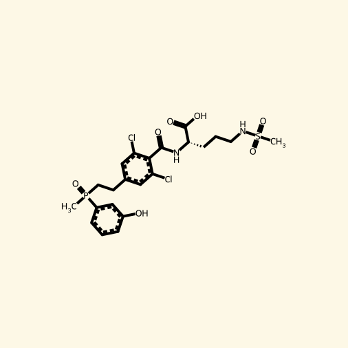 CP(=O)(CCc1cc(Cl)c(C(=O)N[C@@H](CCCNS(C)(=O)=O)C(=O)O)c(Cl)c1)c1cccc(O)c1